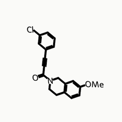 COc1ccc2c(c1)CN(C(=O)C#Cc1cccc(Cl)c1)CC2